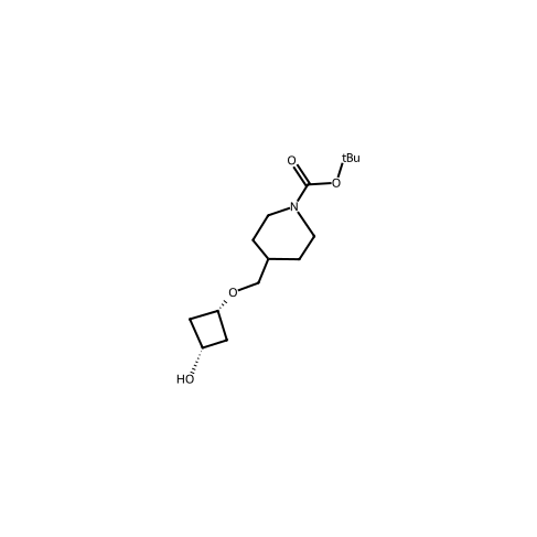 CC(C)(C)OC(=O)N1CCC(CO[C@H]2C[C@@H](O)C2)CC1